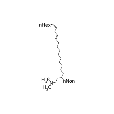 CCCCCC/C=C\CC=CCCCCCCCCCC(CCCCCCCCC)CCN(C)C